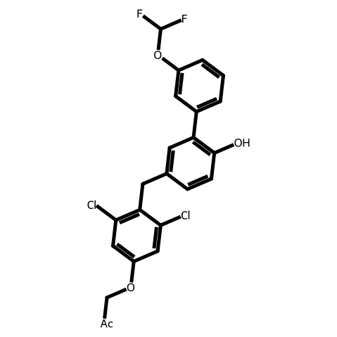 CC(=O)COc1cc(Cl)c(Cc2ccc(O)c(-c3cccc(OC(F)F)c3)c2)c(Cl)c1